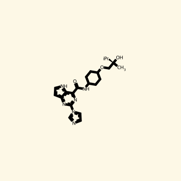 CC(C)[C@](C)(O)COC1CCC(NC(=O)c2nc(-n3ccnc3)nc3cc[nH]c23)CC1